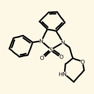 O=S1(=O)N(CC2CNCCO2)c2ccccc2N1c1ccccc1